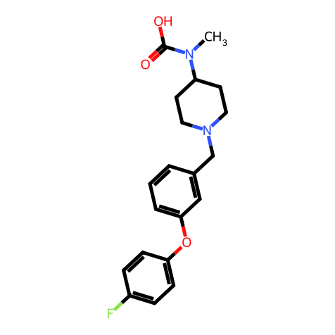 CN(C(=O)O)C1CCN(Cc2cccc(Oc3ccc(F)cc3)c2)CC1